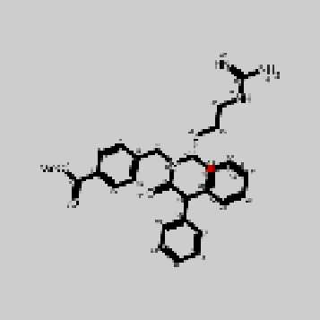 COC(=O)c1ccc(CN(C(=O)C(c2ccccc2)c2ccccc2)[C@H](CCCNC(=N)N)C(N)=O)cc1